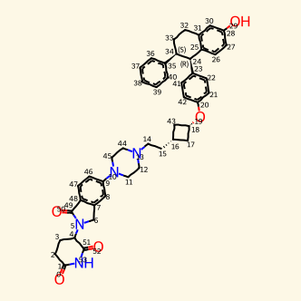 O=C1CCC(N2Cc3cc(N4CCN(CC[C@H]5C[C@@H](Oc6ccc([C@@H]7c8ccc(O)cc8CC[C@@H]7c7ccccc7)cc6)C5)CC4)ccc3C2=O)C(=O)N1